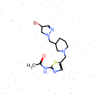 CC(=O)Nc1ncc(CN2CCCC(CN3CC(Br)C=N3)C2)s1